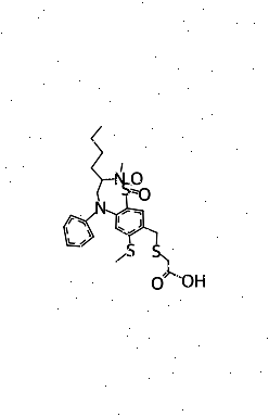 CCCCC1CN(c2ccccc2)c2cc(SC)c(CSCC(=O)O)cc2S(=O)(=O)N1C